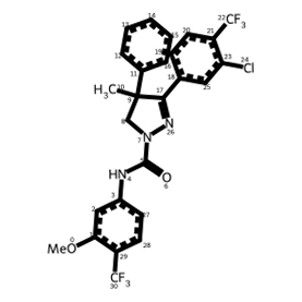 COc1cc(NC(=O)N2CC(C)(c3ccccc3)C(c3ccc(C(F)(F)F)c(Cl)c3)=N2)ccc1C(F)(F)F